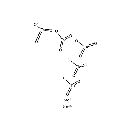 [Mg+2].[O]=[Ta](=[O])[O-].[O]=[Ta](=[O])[O-].[O]=[Ta](=[O])[O-].[O]=[Ta](=[O])[O-].[O]=[Ta](=[O])[O-].[Sm+3]